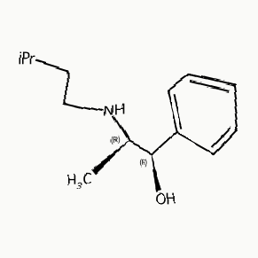 CC(C)CCN[C@H](C)[C@H](O)c1ccccc1